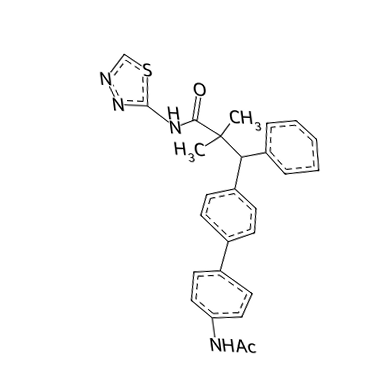 CC(=O)Nc1ccc(-c2ccc(C(c3ccccc3)C(C)(C)C(=O)Nc3nncs3)cc2)cc1